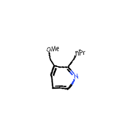 CCCc1ncccc1OC